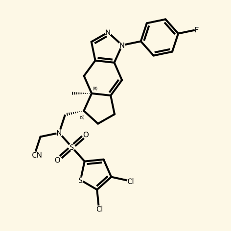 C[C@]12Cc3cnn(-c4ccc(F)cc4)c3C=C1CC[C@@H]2CN(CC#N)S(=O)(=O)c1cc(Cl)c(Cl)s1